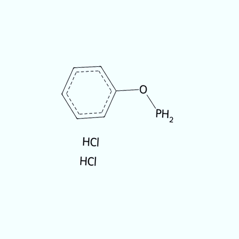 Cl.Cl.POc1ccccc1